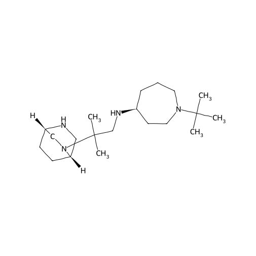 CC(C)(C)N1CCC[C@H](NCC(C)(C)N2C[C@@H]3CC[C@H]2CN3)CC1